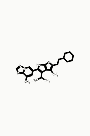 Cc1c(CCC2CCCCC2)sc2[nH]c(-c3cc(C)c4ncnn4c3)c(C(C)C)c12